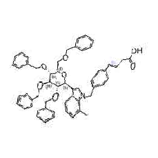 Cc1cccc2c([C@@H]3O[C@H](COCc4ccccc4)[C@@H](OCc4ccccc4)[C@H](OCc4ccccc4)[C@H]3OCc3ccccc3)cn(Cc3ccc(/C=C/CC(=O)O)cc3)c12